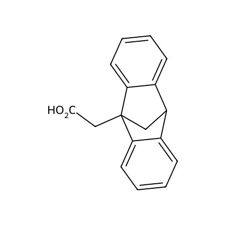 O=C(O)CC12CC(c3ccccc31)c1ccccc12